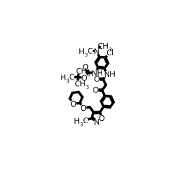 Cc1noc(-c2cccc(C(=O)CC(=O)Nc3cc(Cl)c(N(C)C)cc3NC(=O)OC(C)(C)C)c2)c1COC1CCCCO1